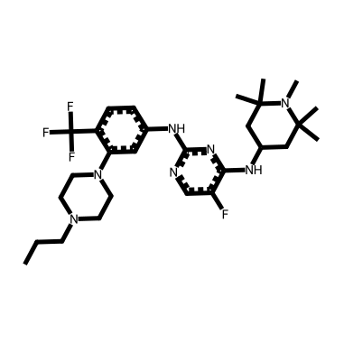 CCCN1CCN(c2cc(Nc3ncc(F)c(NC4CC(C)(C)N(C)C(C)(C)C4)n3)ccc2C(F)(F)F)CC1